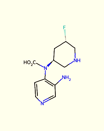 Nc1cnccc1N(C(=O)O)[C@@H]1CNC[C@@H](F)C1